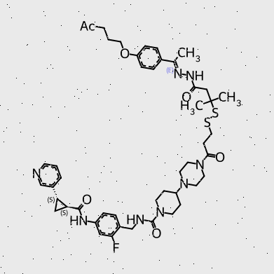 CC(=O)CCCOc1ccc(/C(C)=N/NC(=O)CC(C)(C)SSCCC(=O)N2CCN(C3CCN(C(=O)NCc4ccc(NC(=O)[C@H]5C[C@@H]5c5cccnc5)cc4F)CC3)CC2)cc1